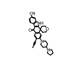 CC#Cc1cc2c(cc1N1CCC(N3CCCC3)CC1)C1(CCOCC1)c1[nH]c3cc(C#N)ccc3c1C2=O